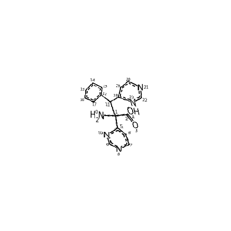 NC(C(=O)O)(c1ccncn1)C(c1ccccc1)c1ccncn1